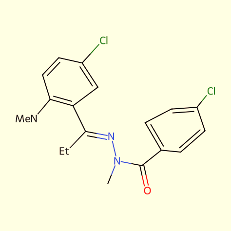 CC/C(=N\N(C)C(=O)c1ccc(Cl)cc1)c1cc(Cl)ccc1NC